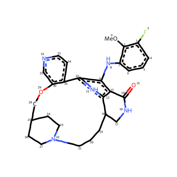 COc1c(F)cccc1Nc1c2[nH]c3c1C(=O)NCC3CCCN1CCC(CC1)COc1cnccc1-2